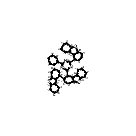 c1ccc(-c2nc(-c3cccc4oc5ccccc5c34)nc(-c3c(-c4cccc5sc6ccccc6c45)ccc4oc5ccccc5c34)n2)cc1